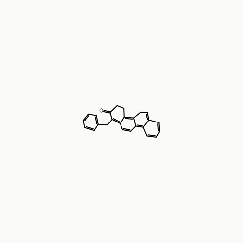 O=C1CCc2c3c(ccc2=C1Cc1ccccc1)=c1ccccc1=CC3